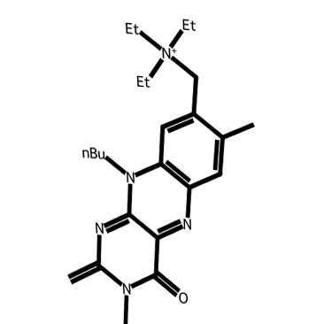 C=c1nc2c(c(=O)n1C)=Nc1cc(C)c(C[N+](CC)(CC)CC)cc1N2CCCC